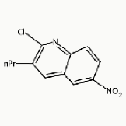 CCCc1cc2cc([N+](=O)[O-])ccc2nc1Cl